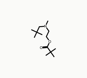 CN(CCOC(=O)C(C)(C)C)CC(C)(C)C